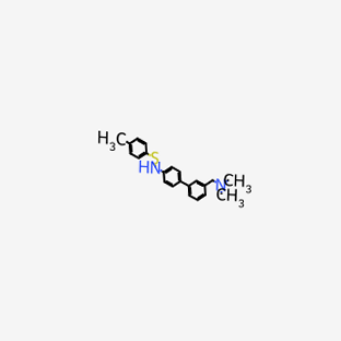 Cc1ccc(SNc2ccc(-c3cccc(CN(C)C)c3)cc2)cc1